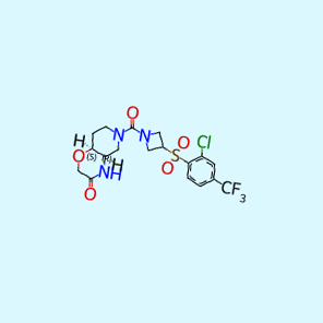 O=C1CO[C@H]2CCN(C(=O)N3CC(S(=O)(=O)c4ccc(C(F)(F)F)cc4Cl)C3)C[C@H]2N1